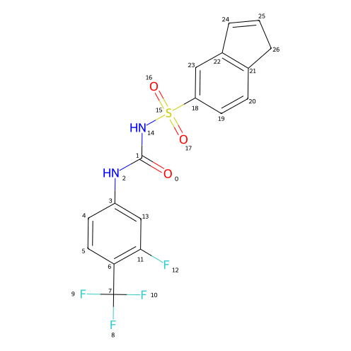 O=C(Nc1ccc(C(F)(F)F)c(F)c1)NS(=O)(=O)c1ccc2c(c1)C=CC2